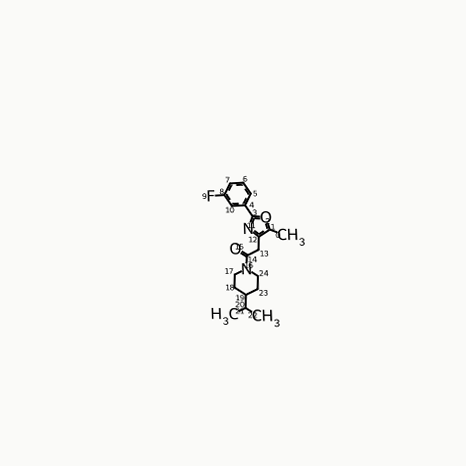 Cc1oc(-c2cccc(F)c2)nc1CC(=O)N1CCC(C(C)C)CC1